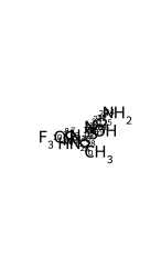 Cc1cc(Nc2nccc(C(F)(F)F)n2)cc(-c2cnc(C3(O)CCC(CN)CC3)s2)c1